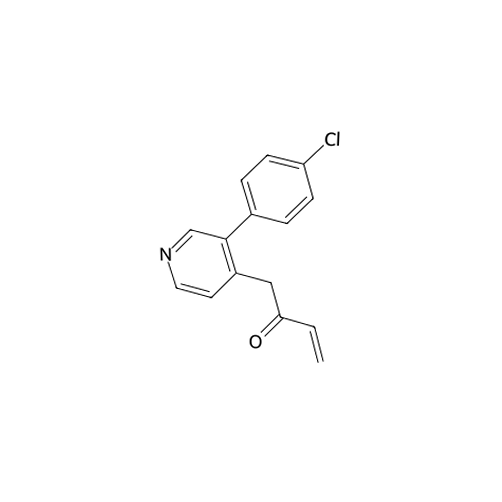 C=CC(=O)Cc1ccncc1-c1ccc(Cl)cc1